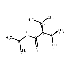 CC(C)OC(=O)[C@H]([C@@H](C)O)N(C)C